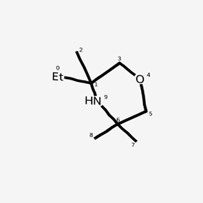 CCC1(C)COCC(C)(C)N1